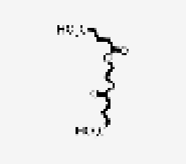 O=C(O)CCCC(=O)OCCOC(=O)CCCC(=O)O